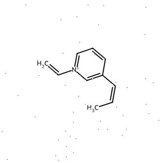 C=C[n+]1cccc(/C=C\C)c1